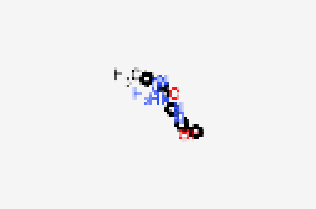 Cc1ccc(-n2ncc(C(=O)Nc3ccc(N4CCC(O)(c5ccccc5)CC4)nc3)c2N)cc1